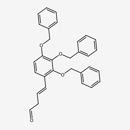 O=CCC=Cc1ccc(OCc2ccccc2)c(OCc2ccccc2)c1OCc1ccccc1